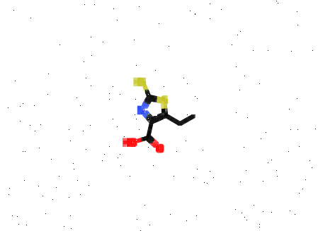 CCc1sc(S)nc1C(=O)O